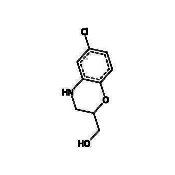 OCC1CNc2cc(Cl)ccc2O1